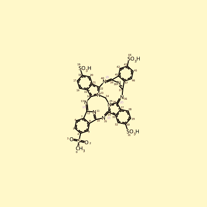 CS(=O)(=O)c1ccc2c(c1)C1=NC/2=N\c2c3ccc(S(=O)(=O)O)cc3c3n2Cn2/c(c4ccc(S(=O)(=O)O)cc4/c2=N/1)=N\C1=NC(=N\3)/c2cc(S(=O)(=O)O)ccc21